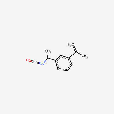 C=C(C)c1cccc(C(C)N=C=O)c1